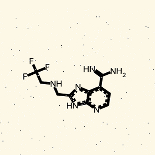 N=C(N)c1ccnc2[nH]c(CNCC(F)(F)F)nc12